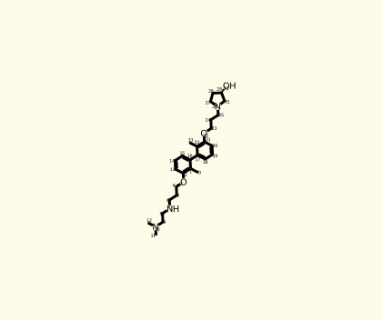 Cc1c(OCCCNCCN(C)C)cccc1-c1cccc(OCCCN2CC[C@@H](O)C2)c1C